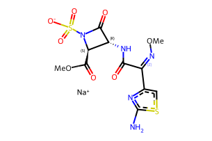 CO/N=C(\C(=O)N[C@H]1C(=O)N(S(=O)(=O)[O-])[C@@H]1C(=O)OC)c1csc(N)n1.[Na+]